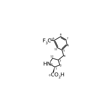 O=C(O)[C@@H]1CC(Cc2cccc(C(F)(F)F)c2)CN1